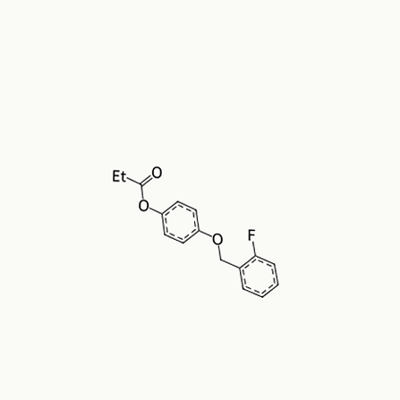 CCC(=O)Oc1ccc(OCc2ccccc2F)cc1